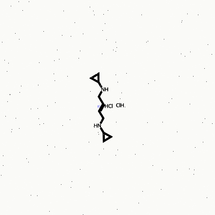 C(=C\CNC1CC1)/CNC1CC1.Cl.Cl